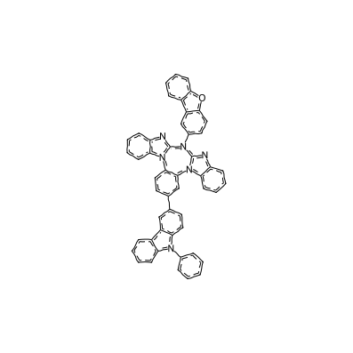 c1ccc(-n2c3ccccc3c3cc(-c4ccc5c(c4)n4c6ccccc6nc4n(-c4ccc6oc7ccccc7c6c4)c4nc6ccccc6n54)ccc32)cc1